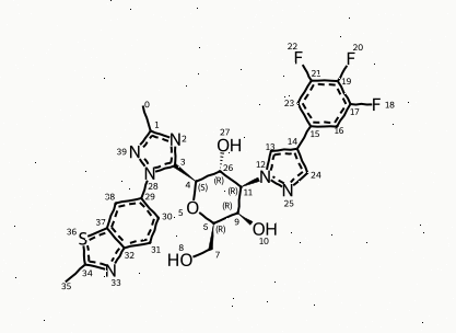 Cc1nc([C@@H]2O[C@H](CO)[C@H](O)[C@H](n3cc(-c4cc(F)c(F)c(F)c4)cn3)[C@H]2O)n(-c2ccc3nc(C)sc3c2)n1